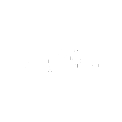 CCCCCC(=O)CCCCc1nc2cc(C)ccc2c(=O)n1-c1cccc(C#N)c1